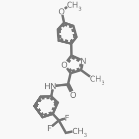 CCC(F)(F)c1cccc(NC(=O)c2oc(-c3ccc(OC)cc3)nc2C)c1